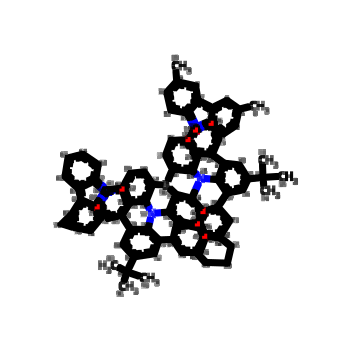 Cc1ccc2c(c1)c1cc(C)ccc1n2-c1ccc2c(c1)N(c1c(-c3ccccc3)cc(C(C)(C)C)cc1-c1ccccc1)c1cc(C3CCCCC3)cc3c1B2c1ccc(-n2c4ccccc4c4c5c(ccc42)=C=5)cc1N3c1c(-c2ccccc2)cc(C(C)(C)C)cc1-c1ccccc1